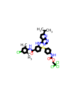 Cc1cc(Cl)cc(C)c1NC(=O)c1ccc(Sc2ccc(NC(=O)OCC(Cl)(Cl)Cl)cc2)c(Nc2ncnc3nc(C(C)C)ccc23)c1